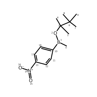 CB(OC(C)(C)C(C)(C)C)c1ccc([N+](=O)[O-])cc1